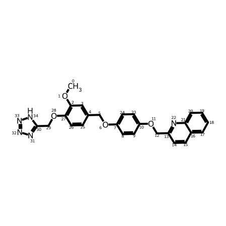 COc1cc(COc2ccc(OCc3ccc4ccccc4n3)cc2)ccc1OCc1nnn[nH]1